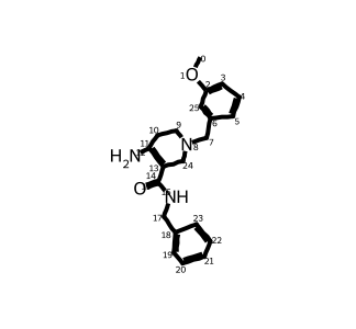 COc1cccc(CN2CCC(N)=C(C(=O)NCc3ccccc3)C2)c1